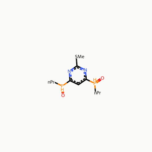 CCC[PH](=O)c1cc([PH](=O)CCC)nc(SC)n1